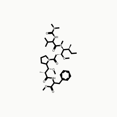 CC[C@H](C)[C@@H]([C@@H](CC(=O)N1CCCC1[C@H](OC)[C@@H](C)C(=O)NC(Cc1ccccc1)C(=O)OC)OC)N(C)C(=O)C(NC(=O)N(C)C)C(C)C